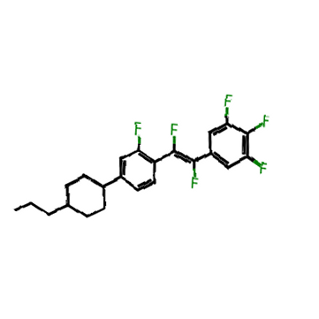 CCCC1CCC(c2ccc(/C(F)=C(\F)c3cc(F)c(F)c(F)c3)c(F)c2)CC1